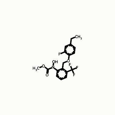 CCc1ccc(OCc2c(N(O)C(=O)OC)cccc2C(F)(F)F)c(F)c1